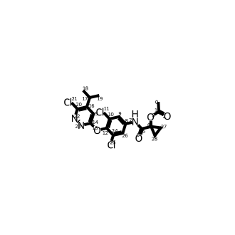 CC(=O)OC1(C(=O)Nc2cc(Cl)c(Oc3cc(C(C)C)c(Cl)nn3)c(Cl)c2)CC1